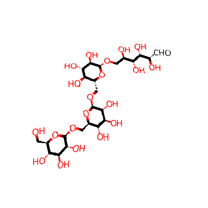 O=C[C@H](O)[C@@H](O)[C@H](O)[C@H](O)CO[C@@H]1O[C@H](CO[C@@H]2O[C@H](CO[C@@H]3O[C@H](CO)[C@@H](O)[C@H](O)[C@H]3O)[C@@H](O)[C@H](O)[C@H]2O)[C@@H](O)[C@H](O)[C@H]1O